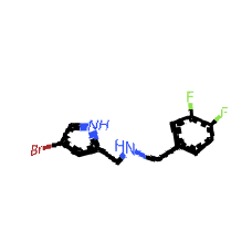 Fc1ccc(CNCc2cc(Br)c[nH]2)cc1F